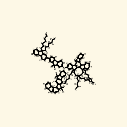 CCCCCCCC1(CCCCCCC)c2ccccc2-c2ccc(-c3ccc4c(c3)C(C)(C)c3cc(N(c5ccc6c(c5)C(C)(C)c5cc7c(cc5-6)C(C)(C)c5ccc6c(c5-7)-c5ccccc5C6)c5ccc6c(c5)C5(CCCCCCC)CCC(CCCCC)(CCCCC)CCC7(CCCCCCC)c8ccccc8-c8c7c5c-6c5oc6ccccc6c85)ccc3-4)cc21